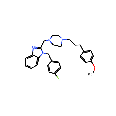 COc1ccc(CCCN2CCN(Cc3nc4ccccc4n3Cc3ccc(F)cc3)CC2)cc1